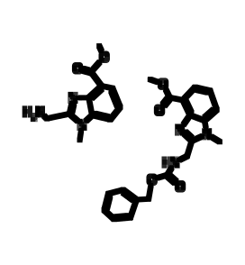 COC(=O)c1cccc2c1nc(CN)n2C.COC(=O)c1cccc2c1nc(CNC(=O)OCc1ccccc1)n2C